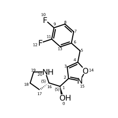 O[C@H](c1cc(Cc2ccc(F)c(F)c2)on1)[C@@H]1CCCN1